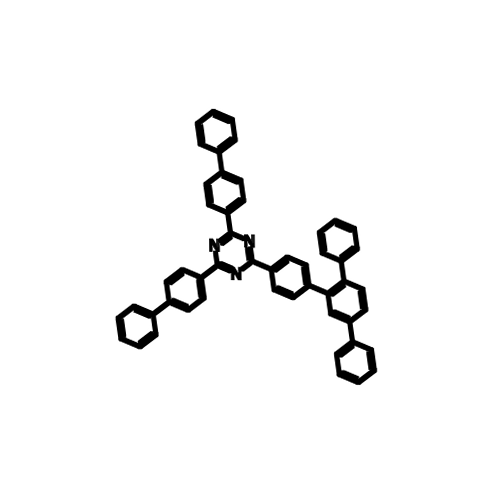 c1ccc(-c2ccc(-c3nc(-c4ccc(-c5ccccc5)cc4)nc(-c4ccc(-c5cc(-c6ccccc6)ccc5-c5ccccc5)cc4)n3)cc2)cc1